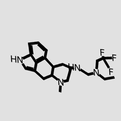 CCN(CNC1CC2c3cccc4[nH]cc(c34)CC2N(C)C1)CC(F)(F)F